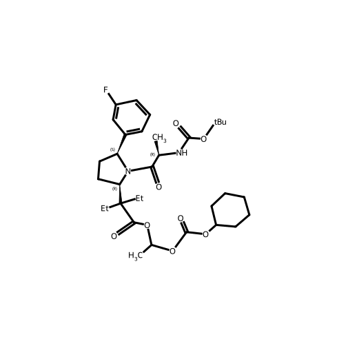 CCC(CC)(C(=O)OC(C)OC(=O)OC1CCCCC1)[C@H]1CC[C@@H](c2cccc(F)c2)N1C(=O)[C@@H](C)NC(=O)OC(C)(C)C